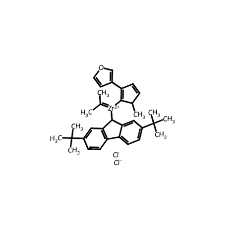 C[C](C)=[Zr+2]([C]1=C(c2ccoc2)C=CC1C)[CH]1c2cc(C(C)(C)C)ccc2-c2ccc(C(C)(C)C)cc21.[Cl-].[Cl-]